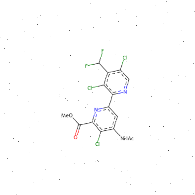 COC(=O)c1nc(-c2ncc(Cl)c(C(F)F)c2Cl)cc(NC(C)=O)c1Cl